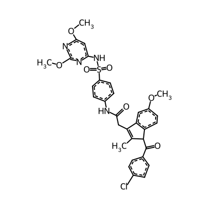 COc1ccc2c(c1)C(CC(=O)Nc1ccc(S(=O)(=O)Nc3cc(OC)nc(OC)n3)cc1)=C(C)C2C(=O)c1ccc(Cl)cc1